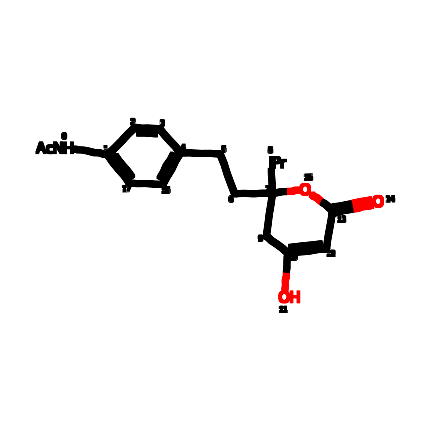 CC(=O)Nc1ccc(CCC2(C(C)C)CC(O)=CC(=O)O2)cc1